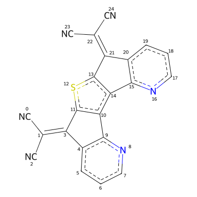 N#CC(C#N)=C1c2cccnc2-c2c1sc1c2-c2ncccc2C1=C(C#N)C#N